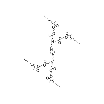 CCCCCCSC(C)C(=O)OCCOC(=O)CCN(CCCN1CCN(CCCN(CCC(=O)OCCOC(=O)C(C)SCCCCC)CCC(=O)OCCOC(=O)C(C)SCCCCC)CC1)CCC(=O)OCCOC(=O)C(C)SCCCCC